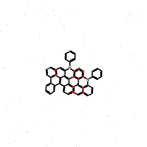 c1ccc(-c2ccccc2-c2c3ccccc3c(-c3ccccc3-c3ccccc3)c3c(N(c4ccccc4)c4ccc(N(c5ccccc5)c5ccccc5)cc4)cccc23)cc1